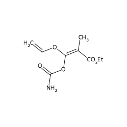 C=COC(OC(N)=O)=C(C)C(=O)OCC